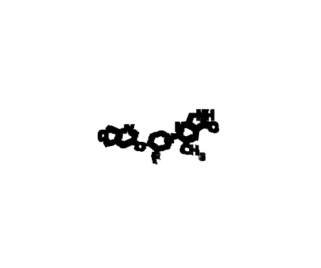 Cc1cc2c(nc1N1CC[C@@H](Oc3cnc4c(c3)COC4)[C@H](F)C1)CNC2=O